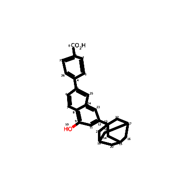 O=C(O)c1ccc(-c2ccc3c(O)cc(C45CC6CC(CC(C6)C4)C5)cc3c2)cc1